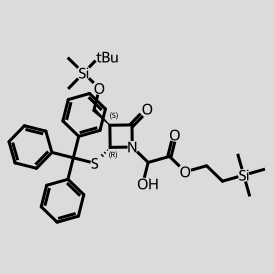 CC(C)(C)[Si](C)(C)OC[C@H]1C(=O)N(C(O)C(=O)OCC[Si](C)(C)C)[C@@H]1SC(c1ccccc1)(c1ccccc1)c1ccccc1